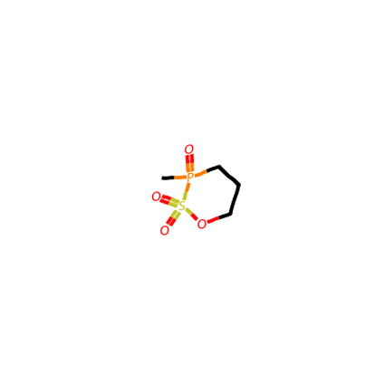 CP1(=O)CCCOS1(=O)=O